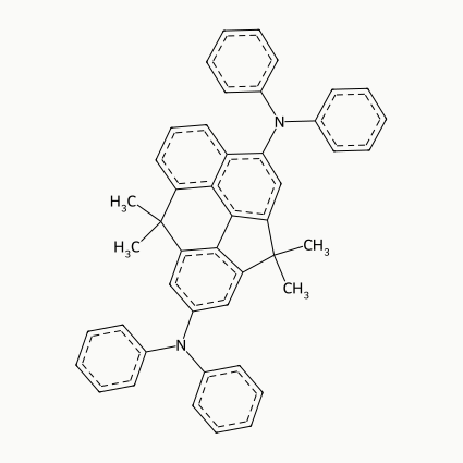 CC1(C)c2cc(N(c3ccccc3)c3ccccc3)cc3c2-c2c1cc(N(c1ccccc1)c1ccccc1)c1cccc(c21)C3(C)C